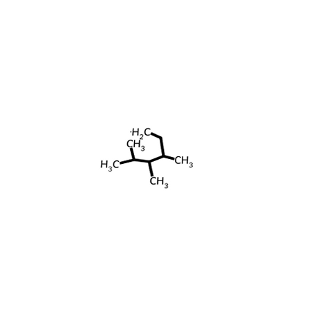 [CH2]CC(C)C(C)C(C)C